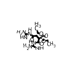 CCOP(=O)(OCC)C(CC(=O)NC(=N)N)C(=O)NC(=N)N